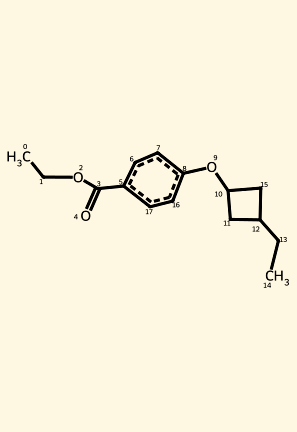 CCOC(=O)c1ccc(OC2CC(CC)C2)cc1